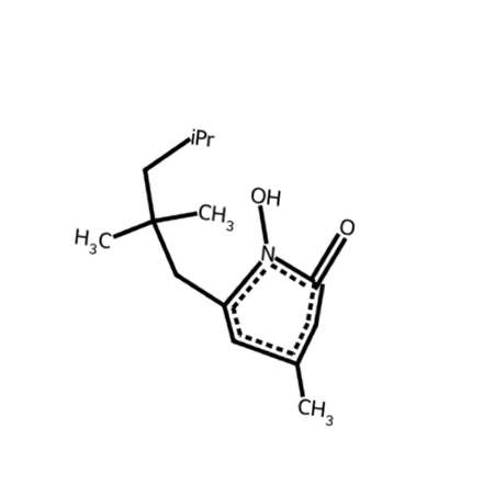 Cc1cc(CC(C)(C)CC(C)C)n(O)c(=O)c1